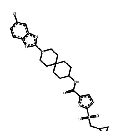 O=C(NC1CCC2(CC1)CCN(c1nc3cc(Cl)ccc3o1)CC2)c1ccc(S(=O)(=O)CC2CC2)o1